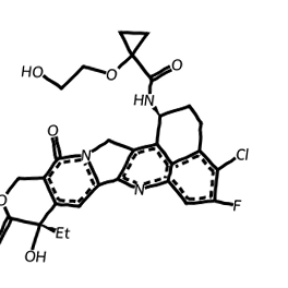 CC[C@@]1(O)C(=O)OCc2c1cc1n(c2=O)Cc2c-1nc1cc(F)c(Cl)c3c1c2[C@@H](NC(=O)C1(OCCO)CC1)CC3